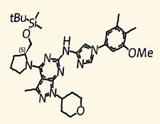 COc1cc(-n2cnc(Nc3nc(N4CCC[C@H]4CO[Si](C)(C)C(C)(C)C)c4c(C)nn(C5CCOCC5)c4n3)c2)cc(C)c1C